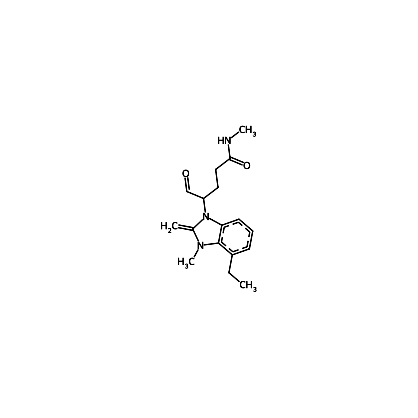 C=C1N(C)c2c(CC)cccc2N1C(C=O)CCC(=O)NC